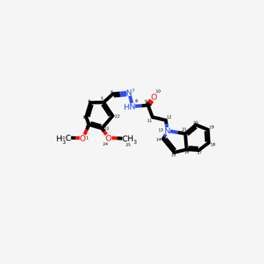 COc1ccc(/C=N\NC(=O)CCn2ccc3ccccc32)cc1OC